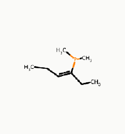 CCC=C(CC)P(C)C